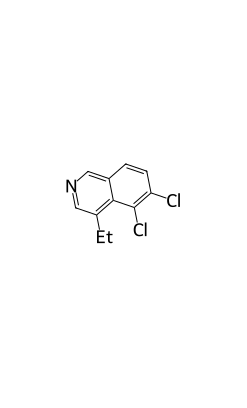 CCc1cncc2ccc(Cl)c(Cl)c12